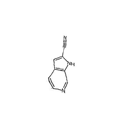 N#Cc1cc2c[c]ncc2[nH]1